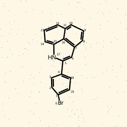 Brc1ccc(C2=Cc3cccc4cccc(c34)N2)cc1